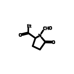 CCC(=O)C1CCC(=O)N1C=O